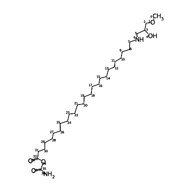 COCC(O)CNCCCCCCCCCCCCCCCCCCCCCCCCCC(=O)OC(N)=O